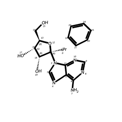 CC(C)[C@@]1(n2cnc3c(N)ncnc32)O[C@H](CO)[C@@H](O)[C@H]1O.c1ccccc1